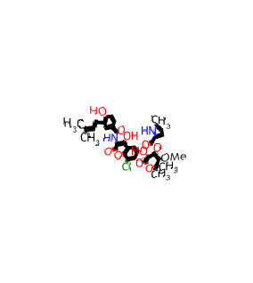 CO[C@@H]1[C@@H](OC(=O)c2ccc(C)[nH]2)[C@@H](O)[C@H](Oc2ccc3c(O)c(NC(=O)c4ccc(O)c(CC=C(C)C)c4)c(=O)oc3c2Cl)OC1(C)C